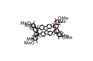 COc1c(C)cc(N(c2cc(C)c(OC)c(C)c2)c2ccc3c(c2)C2(c4cc(N(c5cc(C)c(OC)c(C)c5)c5cc(C)c(OC)c(C)c5)ccc4-3)c3cc(N(c4cc(C)c(OC)c(C)c4)c4cc(C)c(OC)c(C)c4)ccc3-c3ccc(N(c4cc(C)c(OC)c(C)c4)c4cc(C)c(OC)c(C)c4)cc32)cc1C